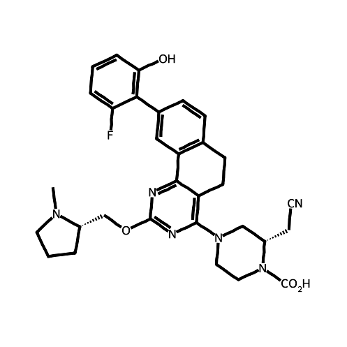 CN1CCC[C@H]1COc1nc2c(c(N3CCN(C(=O)O)[C@@H](CC#N)C3)n1)CCc1ccc(-c3c(O)cccc3F)cc1-2